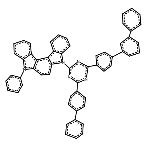 c1ccc(-c2ccc(-c3nc(-c4ccc(-c5cccc(-c6ccccc6)c5)cc4)nc(-n4c5ccccc5c5c6c7ccccc7n(-c7ccccc7)c6ccc54)n3)cc2)cc1